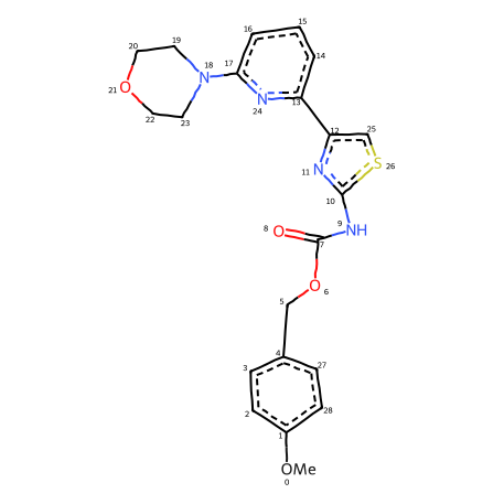 COc1ccc(COC(=O)Nc2nc(-c3cccc(N4CCOCC4)n3)cs2)cc1